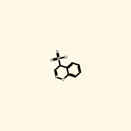 O=S(=O)(Cl)C1C=NOc2ccccc21